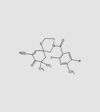 Cc1cc(F)c(C(=O)N2CCOC3(C=C(C#N)C(=O)C(C)(C)C3)C2)cc1F